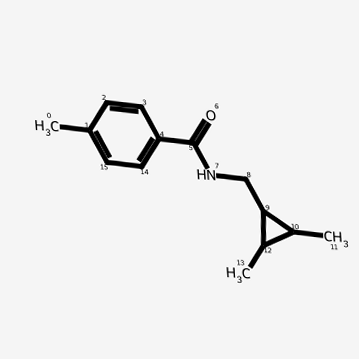 Cc1ccc(C(=O)NCC2C(C)C2C)cc1